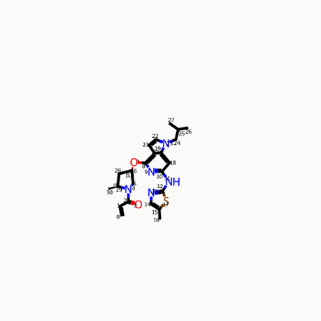 C=CC(=O)N1C[C@@H](Oc2nc(Nc3ncc(C)s3)cc3c2ccn3CC(C)C)C[C@@H]1C